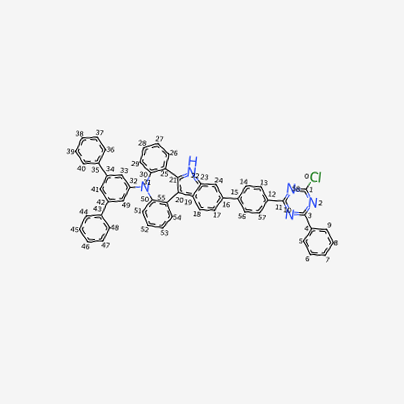 Clc1nc(-c2ccccc2)nc(-c2ccc(-c3ccc4c5c([nH]c4c3)-c3ccccc3N(c3cc(-c4ccccc4)cc(-c4ccccc4)c3)c3ccccc3-5)cc2)n1